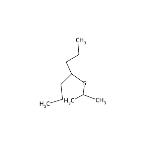 CCCC(CCC)SC(C)C